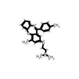 Cc1ccc(C2=Nc3ccccc3Oc3c(C)cc(OCCN(C)C)cc32)cc1